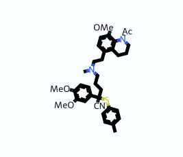 COc1ccc(C(C#N)(CCCN(C)CCc2ccc(OC)c3c2CCCN3C(C)=O)Sc2ccc(C)cc2)cc1OC